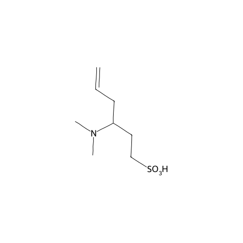 C=CCC(CCS(=O)(=O)O)N(C)C